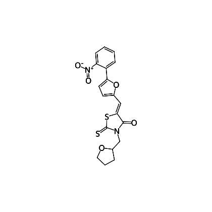 O=C1C(=Cc2ccc(-c3ccccc3[N+](=O)[O-])o2)SC(=S)N1CC1CCCO1